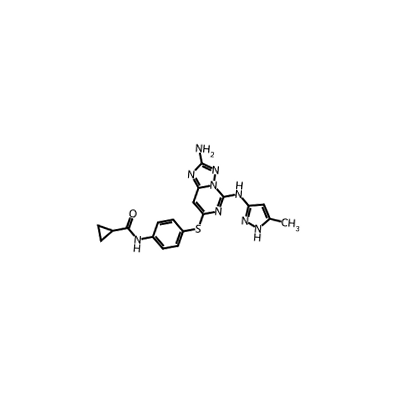 Cc1cc(Nc2nc(Sc3ccc(NC(=O)C4CC4)cc3)cc3nc(N)nn23)n[nH]1